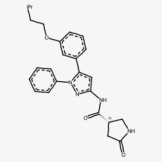 CC(C)CCOc1cccc(-c2cc(NC(=O)[C@@H]3CNC(=O)C3)nn2-c2ccccc2)c1